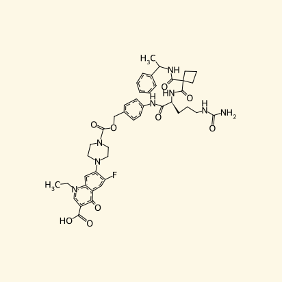 CCn1cc(C(=O)O)c(=O)c2cc(F)c(N3CCN(C(=O)OCc4ccc(NC(=O)[C@H](CCCNC(N)=O)NC(=O)C5(C(=O)NC(C)c6ccccc6)CCC5)cc4)CC3)cc21